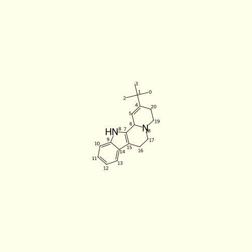 CC(C)(C)C1=CC2c3[nH]c4ccccc4c3CCN2CC1